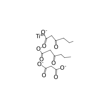 CCCC(=O)CC(=O)[O-].CCCC(=O)CC(=O)[O-].O=C([O-])CC(=O)[O-].[Ti+4]